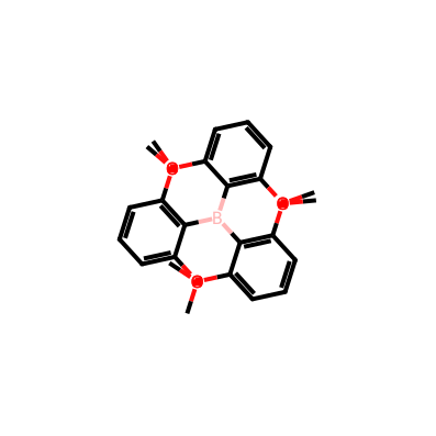 COc1cccc(OC)c1B(c1c(OC)cccc1OC)c1c(OC)cccc1OC